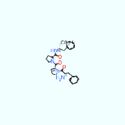 N[C@@H](Cc1ccccc1)C(=O)N1CCC[C@H]1C(=O)N1CCC[C@H]1C(=O)N[C@H](CC(=O)O)Cc1ccccc1